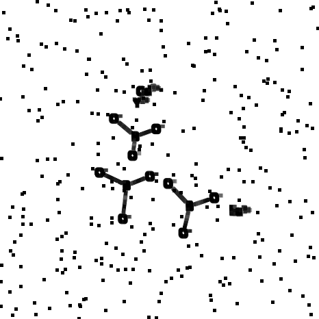 [Eu+3].[Gd+3].[O-]B([O-])[O-].[O-]B([O-])[O-].[O-]B([O-])[O-].[Y+3]